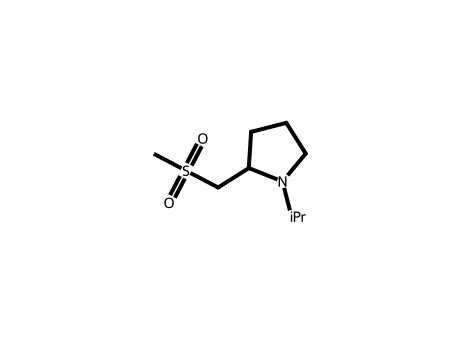 CC(C)N1CCCC1CS(C)(=O)=O